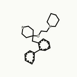 c1ccc(-c2ccccc2CC2(OCCN3CCCCC3)CC[N]CC2)cc1